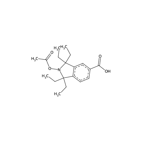 CCC1(CC)c2ccc(C(=O)O)cc2C(CC)(CC)N1OC(C)=O